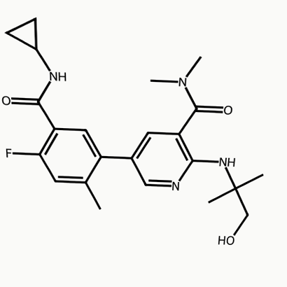 Cc1cc(F)c(C(=O)NC2CC2)cc1-c1cnc(NC(C)(C)CO)c(C(=O)N(C)C)c1